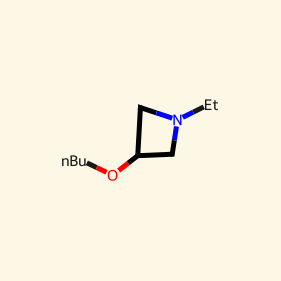 CCCCOC1CN(CC)C1